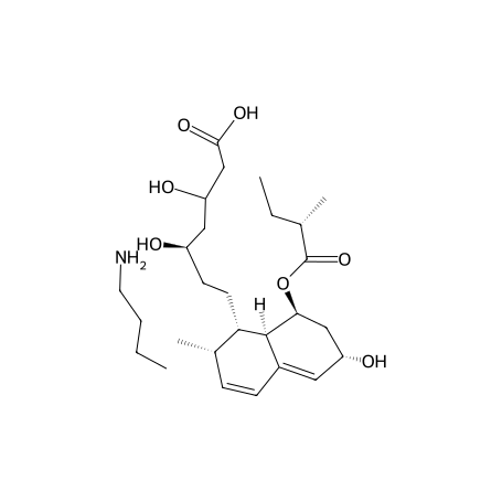 CCCCN.CC[C@H](C)C(=O)O[C@H]1C[C@H](O)C=C2C=C[C@H](C)[C@H](CC[C@@H](O)CC(O)CC(=O)O)[C@H]21